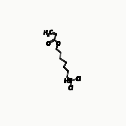 C=CC(=O)OCCCCCCC[SiH](Cl)Cl